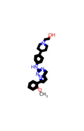 COc1ccccc1-c1ccc2cnc(Nc3ccc(C4CCN(CCO)CC4)cc3)nn12